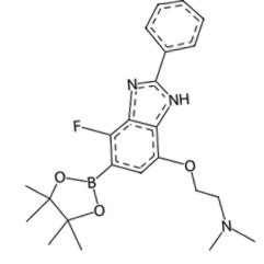 CN(C)CCOc1cc(B2OC(C)(C)C(C)(C)O2)c(F)c2nc(-c3ccccc3)[nH]c12